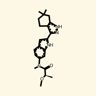 CO[C@H](C)C(=O)N(C)c1ccc2cc(-c3n[nH]c4c3CCC(C)(C)C4)[nH]c2c1